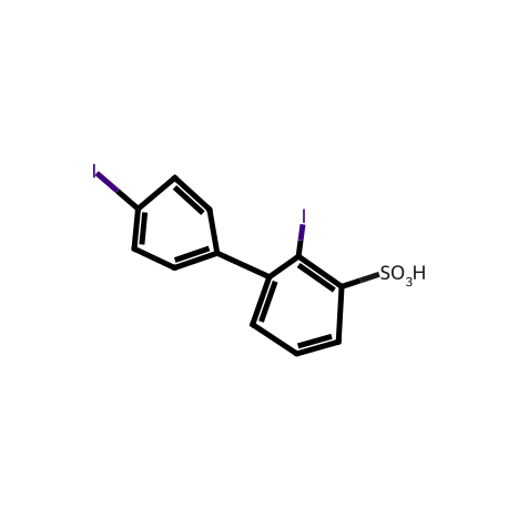 O=S(=O)(O)c1cccc(-c2ccc(I)cc2)c1I